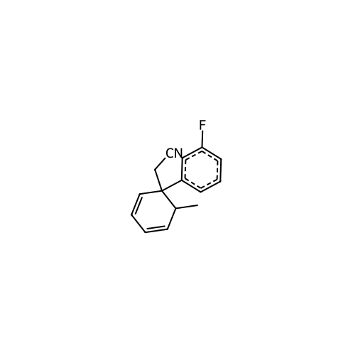 CC1C=CC=CC1(CC#N)c1cccc(F)c1